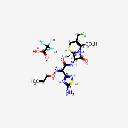 C=CCO/N=C(/C(=O)N[C@@H]1C(=O)N2C(C(=O)O)=C(CCl)CS[C@H]12)c1nsc(N)n1.O=C(O)C(F)(F)F